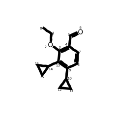 CCOc1c(C=O)ccc(C2CC2)c1C1CC1